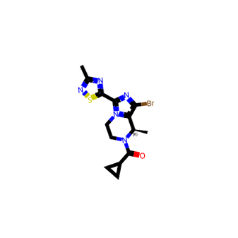 Cc1nsc(-c2nc(Br)c3n2CCN(C(=O)C2CC2)[C@@H]3C)n1